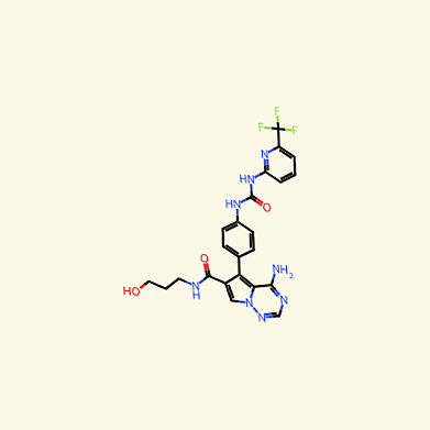 Nc1ncnn2cc(C(=O)NCCCO)c(-c3ccc(NC(=O)Nc4cccc(C(F)(F)F)n4)cc3)c12